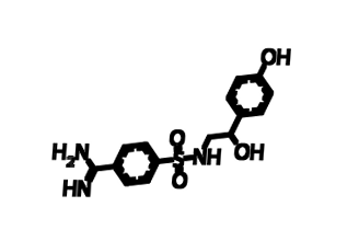 N=C(N)c1ccc(S(=O)(=O)NCC(O)c2ccc(O)cc2)cc1